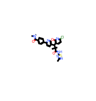 Cc1nsc(NC(=O)C(C)(C)C2c3ccc(Cl)nc3Oc3nc(-c4ccc(C(=O)N(C)C)cc4)ccc32)n1